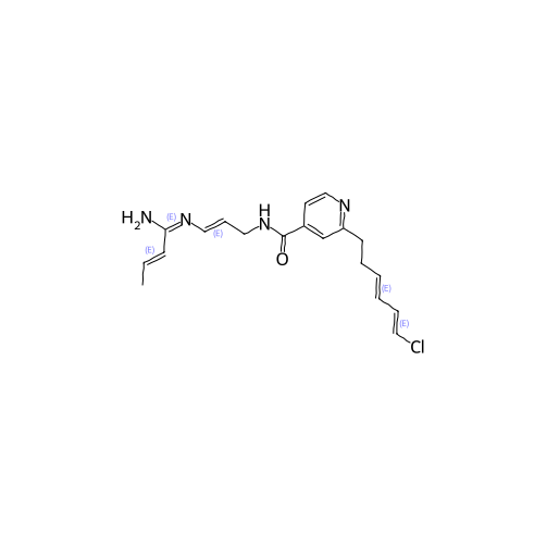 C/C=C/C(N)=N\C=C\CNC(=O)c1ccnc(CC/C=C/C=C/Cl)c1